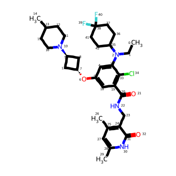 CCN(c1cc(O[C@H]2C[C@H](N3CCC(C)CC3)C2)cc(C(=O)NCc2c(C)cc(C)[nH]c2=O)c1Cl)C1CCC(F)(F)CC1